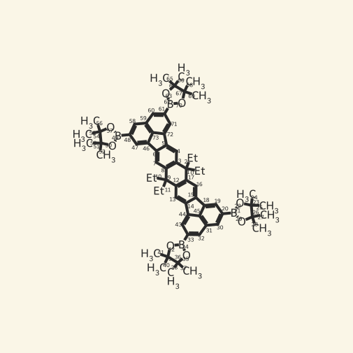 CCC1(CC)c2cc3c(cc2C(CC)(CC)c2cc4c(cc21)-c1cc(B2OC(C)(C)C(C)(C)O2)cc2cc(B5OC(C)(C)C(C)(C)O5)cc-4c12)-c1cc(B2OC(C)(C)C(C)(C)O2)cc2cc(B4OC(C)(C)C(C)(C)O4)cc-3c12